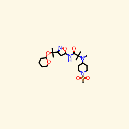 CN(C1CCN(S(C)(=O)=O)CC1)C(C)(C)C(=O)NC1CC(C(C)(C)OC2CCCCO2)=NO1